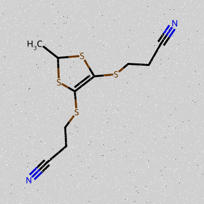 CC1SC(SCCC#N)=C(SCCC#N)S1